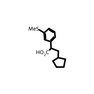 CSc1cccc(C(CC2CCCC2)C(=O)O)c1